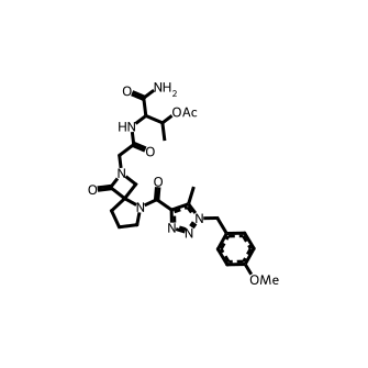 COc1ccc(Cn2nnc(C(=O)N3CCCC34CN(CC(=O)NC(C(N)=O)C(C)OC(C)=O)C4=O)c2C)cc1